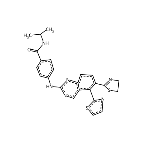 CC(C)NC(=O)c1ccc(Nc2ncc3c(-c4nccs4)c(C4=NCCS4)ccc3n2)cc1